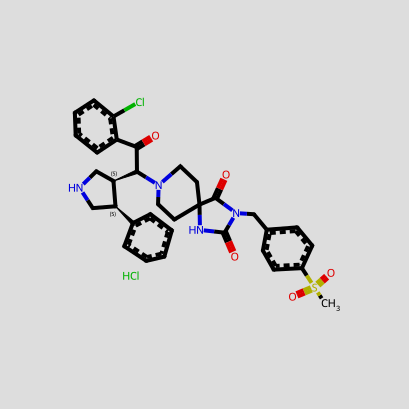 CS(=O)(=O)c1ccc(CN2C(=O)NC3(CCN(C(C(=O)c4ccccc4Cl)[C@@H]4CNC[C@@H]4c4ccccc4)CC3)C2=O)cc1.Cl